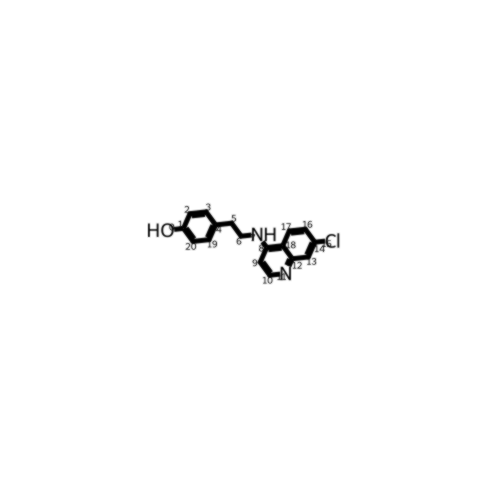 Oc1ccc(CCNc2ccnc3cc(Cl)ccc23)cc1